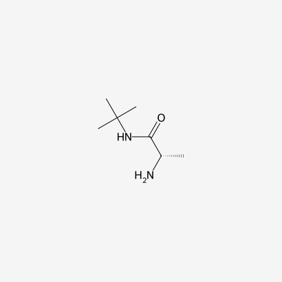 C[C@H](N)C(=O)NC(C)(C)C